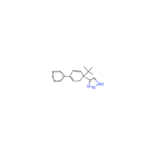 CC(C)(C)C1(c2c[nH]nn2)C=CC(c2ccccc2)=CC1